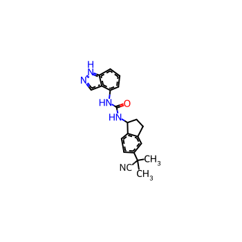 CC(C)(C#N)c1ccc2c(c1)CCC2NC(=O)Nc1cccc2[nH]ncc12